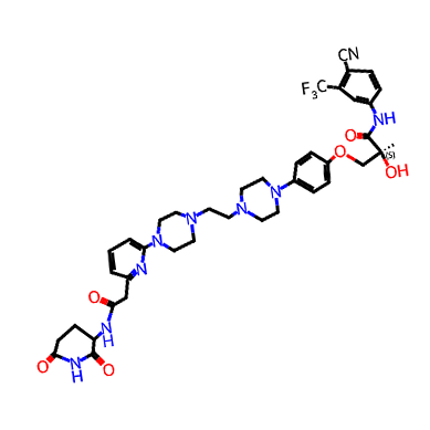 C[C@](O)(COc1ccc(N2CCN(CCN3CCN(c4cccc(CC(=O)NC5CCC(=O)NC5=O)n4)CC3)CC2)cc1)C(=O)Nc1ccc(C#N)c(C(F)(F)F)c1